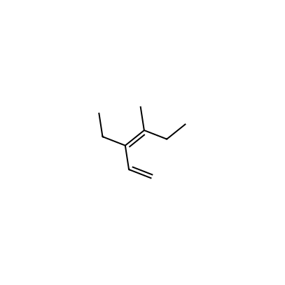 C=CC(CC)=C(C)CC